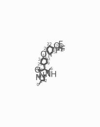 Cc1cc2[nH]c(C)c(-c3ccc(Oc4ccc(OC(F)(F)F)cc4)cc3)c(=O)n2n1